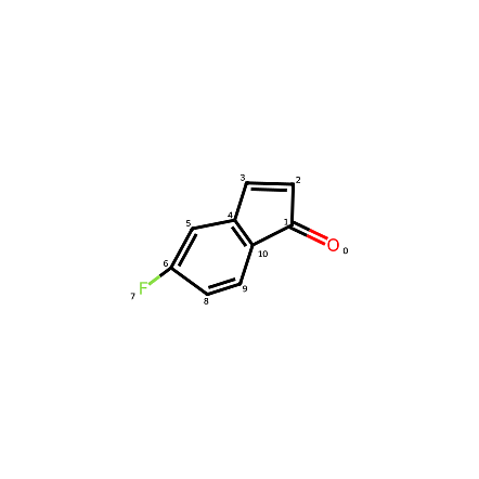 O=C1C=Cc2cc(F)ccc21